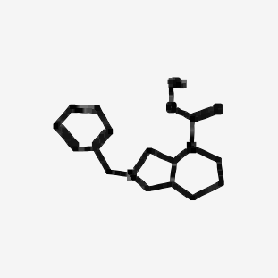 CC(C)(C)OC(=O)N1CCCC2CN(Cc3ccccc3)CC21